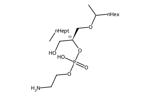 CCCCCCC(C)OC[C@H](CO)OP(=O)(O)OCCN.CCCCCCCC